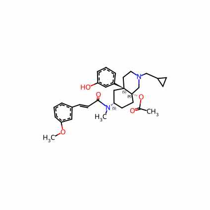 COc1cccc(C=CC(=O)N(C)[C@H]2CC[C@]3(OC(C)=O)CN(CC4CC4)CC[C@@]3(c3cccc(O)c3)C2)c1